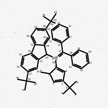 CC1C=C(C(C)(C)C)C=[C]1[Hf](=[C](c1ccccc1)c1ccccc1)[CH]1c2cc(C(C)(C)C)ccc2-c2ccc(C(C)(C)C)cc21